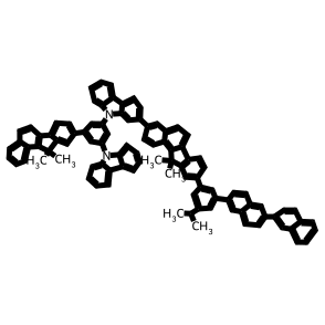 CC(C)c1cc(-c2ccc3c(c2)C(C)(C)c2c-3ccc3cc(-c4ccc5c6ccccc6n(-c6cc(-c7ccc8c(c7)C(C)(C)c7c-8ccc8ccccc78)cc(-n7c8ccccc8c8ccccc87)c6)c5c4)ccc23)cc(-c2ccc3cc(-c4ccc5ccccc5c4)ccc3c2)c1